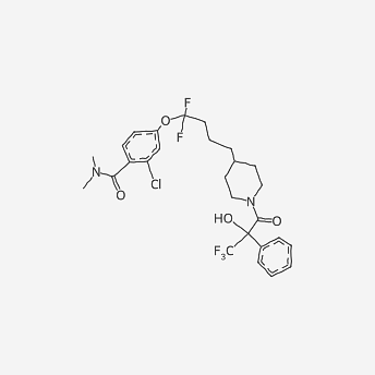 CN(C)C(=O)c1ccc(OC(F)(F)CCCC2CCN(C(=O)C(O)(c3ccccc3)C(F)(F)F)CC2)cc1Cl